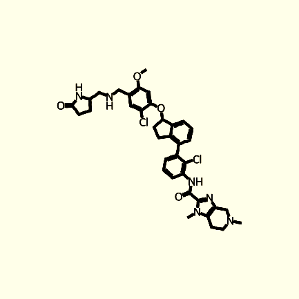 COc1cc(OC2CCc3c(-c4cccc(NC(=O)c5nc6c(n5C)CCN(C)C6)c4Cl)cccc32)c(Cl)cc1CNCC1CCC(=O)N1